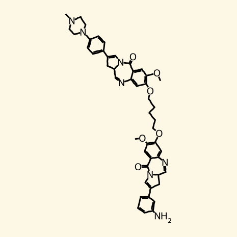 COc1cc2c(cc1OCCCCCOc1cc3c(cc1OC)C(=O)N1C=C(c4cccc(N)c4)CC1C=N3)N=CC1CC(c3ccc(N4CCN(C)CC4)cc3)=CN1C2=O